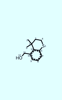 CC1(C)CCSc2cccc(CO)c21